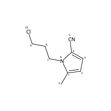 Cc1ccc(C#N)n1CCCCl